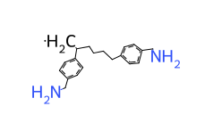 [CH2]C(CCCCc1ccc(CN)cc1)c1ccc(CN)cc1